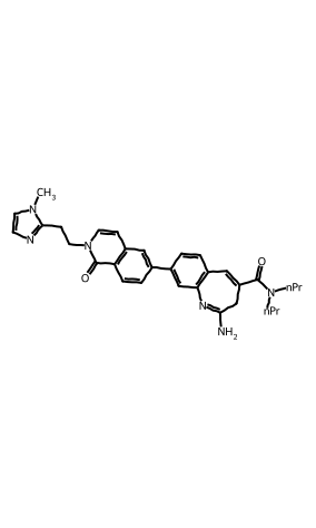 CCCN(CCC)C(=O)C1=Cc2ccc(-c3ccc4c(=O)n(CCc5nccn5C)ccc4c3)cc2N=C(N)C1